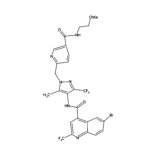 COCCNC(=O)c1ccc(Cn2nc(C(F)(F)F)c(NC(=O)c3cc(C(F)(F)F)nc4ccc(Br)cc34)c2C)nc1